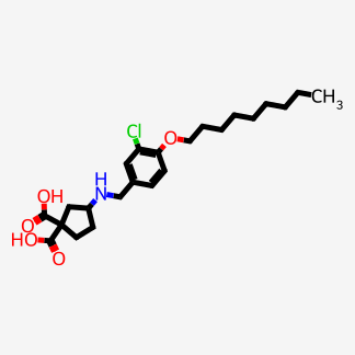 CCCCCCCCCOc1ccc(CNC2CCC(C(=O)O)(C(=O)O)C2)cc1Cl